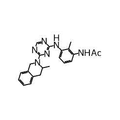 CC(=O)Nc1cccc(Nc2ncnc(N3Cc4ccccc4CC3C)n2)c1C